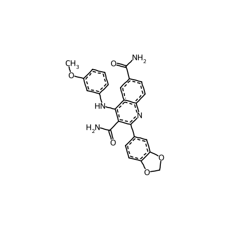 COc1cccc(Nc2c(C(N)=O)c(-c3ccc4c(c3)OCO4)nc3ccc(C(N)=O)cc23)c1